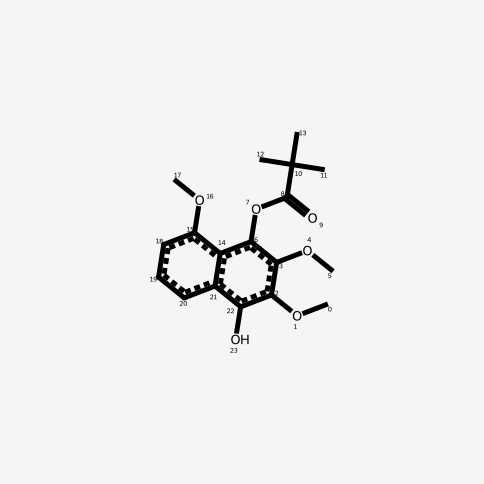 COc1c(OC)c(OC(=O)C(C)(C)C)c2c(OC)cccc2c1O